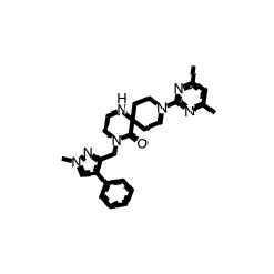 Cc1cc(C)nc(N2CCC3(CC2)NCCN(Cc2nn(C)cc2-c2ccccc2)C3=O)n1